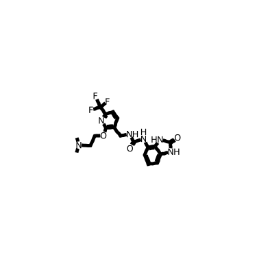 CN(C)CCOc1nc(C(F)(F)F)ccc1CNC(=O)Nc1cccc2[nH]c(=O)[nH]c12